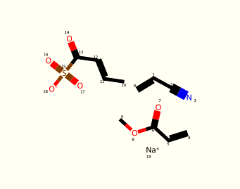 C=CC#N.C=CC(=O)OC.CC=CC(=O)S(=O)(=O)[O-].[Na+]